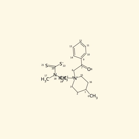 CC1CC[N+](C)(CC(=O)c2ccccc2)CC1.CN(C)C(=S)[S-]